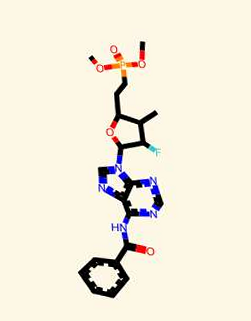 COP(=O)(CCC1OC(n2cnc3c(NC(=O)c4ccccc4)ncnc32)C(F)C1C)OC